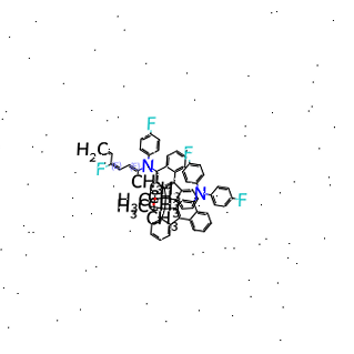 C=C/C(F)=C\C=C(/C)N(c1ccc(F)cc1)c1cc2c(c3ccccc13)-c1ccccc1C2(C(C)(C)C)C1(C(C)(C)C)c2ccccc2-c2c1cc(N(c1ccc(F)cc1)c1ccc(F)cc1)c1ccccc21